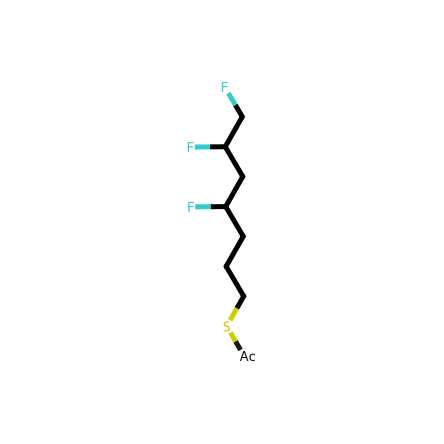 CC(=O)SCCCC(F)CC(F)CF